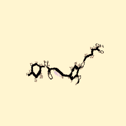 COc1cc(/C=C/C(=O)NC2CCC(C)CC2)ccc1OCCCC(=O)O